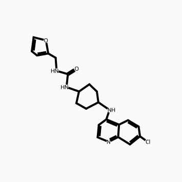 O=C(NCc1ccco1)NC1CCC(Nc2ccnc3cc(Cl)ccc23)CC1